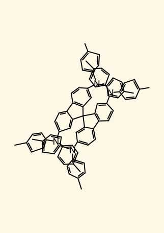 Cc1ccc(N(c2ccc(C)cc2)c2ccc3c(c2)C2(c4cc(N(c5ccc(C)cc5)c5ccc(C)cc5)ccc4-3)c3cc(N(c4ccc(C)cc4)c4ccc(C)cc4)ccc3-c3ccc(N(c4ccc(C)cc4)c4ccc(C)cc4)cc32)cc1